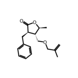 C=C(C)COC[C@H]1[C@H](C)OC(=O)[C@@H]1Cc1ccccc1